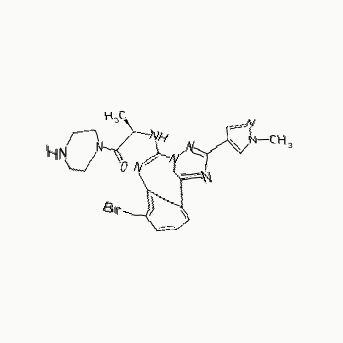 C[C@@H](Nc1nc2c(Br)cccc2c2nc(-c3cnn(C)c3)nn12)C(=O)N1CCNCC1